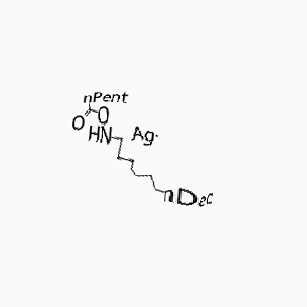 CCCCCCCCCCCCCCCCNOC(=O)CCCCC.[Ag]